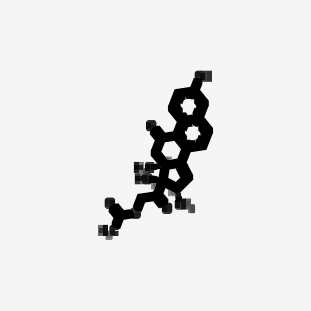 CC(=O)OCC(=O)[C@@]1(O)[C@@H](C)C=C2c3ccc4cc(O)ccc4c3C(=O)C[C@@]21C